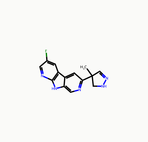 CC1(c2cc3c(cn2)[nH]c2ncc(F)cc23)C=NNC1